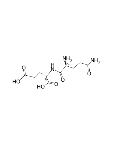 NC(=O)CC[C@H](N)C(=O)N[C@@H](CCC(=O)O)C(=O)O